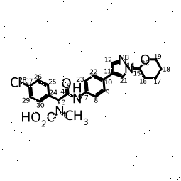 CN(C(=O)O)[C@@H](C(=O)Nc1ccc(-c2cnn(C3CCCCO3)c2)cc1)c1ccc(Cl)cc1